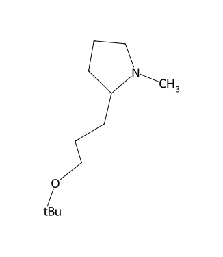 CN1CCCC1CCCOC(C)(C)C